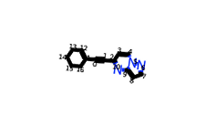 C(#Cc1ccn2nccc2n1)C1=CCCCC1